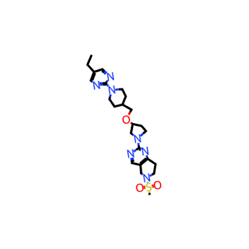 CCc1cnc(N2CCC(COC3CCN(c4ncc5c(n4)CCN(S(C)(=O)=O)C5)C3)CC2)nc1